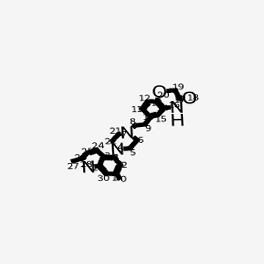 Cc1cc(N2CCN(CCc3ccc4c(c3)NC(=O)CO4)CC2)c2ccc(C)nc2c1